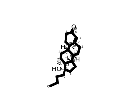 CCCC[C@]1(O)CC[C@H]2[C@@H]3CCC4=CC(=O)CC[C@]4(C)[C@H]3CC[C@@]21C